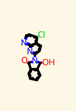 O=C1c2ccccc2C(O)N1c1ccc2c(Cl)ccnc2n1